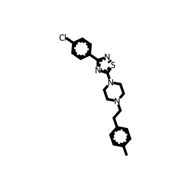 Cc1ccc(CCN2CCN(c3nc(-c4ccc(Cl)cc4)ns3)CC2)cc1